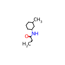 C=CC(=O)N[C@@H]1CCCC(C)C1